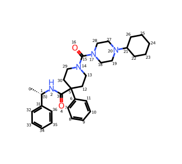 C[C@H](NC(=O)C1(c2ccccc2)CCN(C(=O)N2CCN(C3CCCCC3)CC2)CC1)c1ccccc1